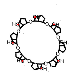 OC12CC3CC(OC4(O)CC5CC(OC6(O)CC7CC(OC8(O)CC9CC(OC%10(O)CC%11CC(OC%12(O)CC%13CC(OC%14(O)CC%15CC(OC%16(O)CC%17CC(O1)C%16C%17)C%14C%15)C%12C%13)C%10C%11)C8C9)C6C7)C4C5)C2C3